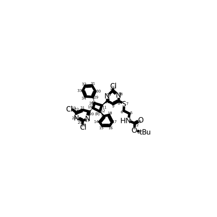 CC(C)(C)OC(=O)NCCSc1cc([C@H]2[C@@H](c3ccccc3)[C@H](c3cc(Cl)nc(Cl)n3)[C@@H]2c2ccccc2)nc(Cl)n1